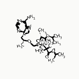 CC(C)OC(=O)[C@@H](C)OP(=O)(CO[C@H](C)Cn1cnc2c(N)ncnc21)NC(C)(C)C(=O)OC(C)C